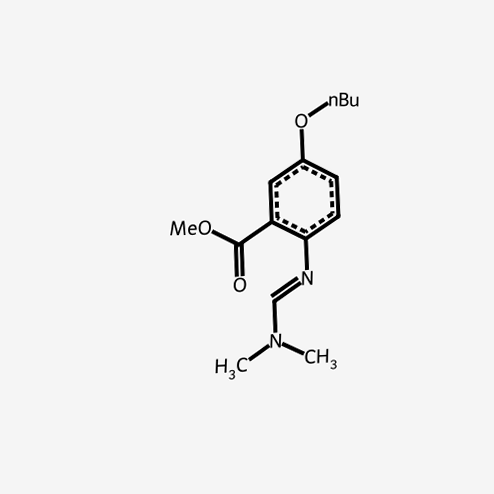 CCCCOc1ccc(N=CN(C)C)c(C(=O)OC)c1